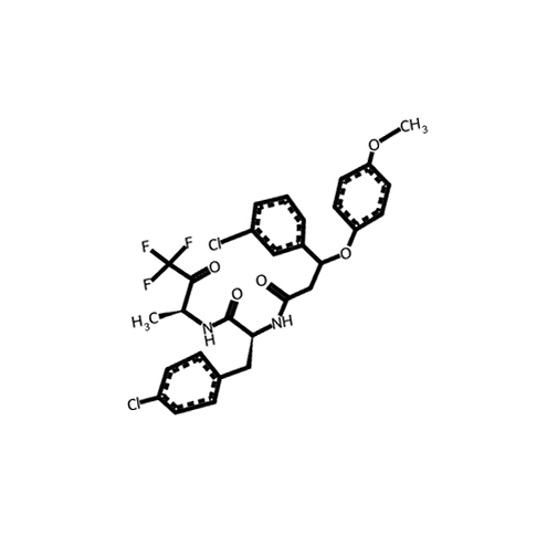 COc1ccc(OC(CC(=O)N[C@@H](Cc2ccc(Cl)cc2)C(=O)N[C@@H](C)C(=O)C(F)(F)F)c2cccc(Cl)c2)cc1